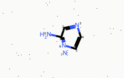 Nc1cnccn1.[N]